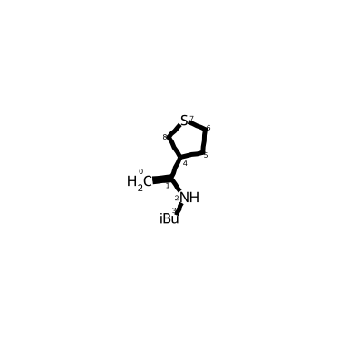 C=C(NC(C)CC)C1CCSC1